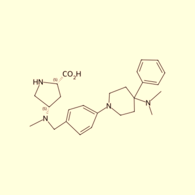 CN(Cc1ccc(N2CCC(c3ccccc3)(N(C)C)CC2)cc1)[C@@H]1CN[C@H](C(=O)O)C1